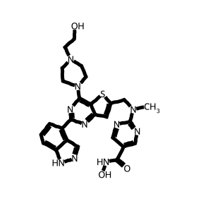 CN(Cc1cc2nc(-c3cccc4[nH]ncc34)nc(N3CCN(CCO)CC3)c2s1)c1ncc(C(=O)NO)cn1